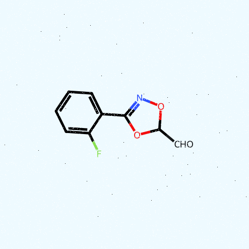 O=CC1ON=C(c2ccccc2F)O1